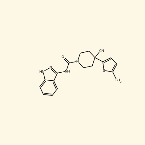 Bc1ccc(C2(C#N)CCN(C(=O)Nc3n[nH]c4ccccc34)CC2)s1